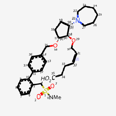 CNS(=O)(=O)Cc1ccccc1-c1ccc(CO[C@@H]2CC[C@H](N3CCCCCC3)[C@H]2OC/C=C\CCC(=O)O)cc1